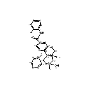 Cc1ncccc1NC(=O)c1ccc2c(c1)CC[C@@H]1C[C@](C)(O)CC[C@@]21Cc1ccccc1